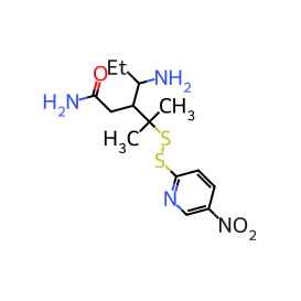 CCC(N)C(CC(N)=O)C(C)(C)SSc1ccc([N+](=O)[O-])cn1